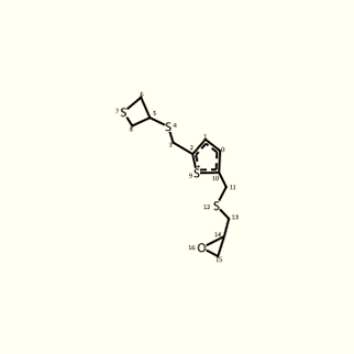 c1cc(CSC2CSC2)sc1CSCC1CO1